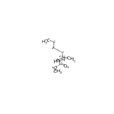 CCCC[SiH](C)NC(=O)OC